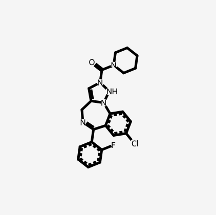 O=C(N1CCCCC1)N1C=C2CN=C(c3ccccc3F)c3cc(Cl)ccc3N2N1